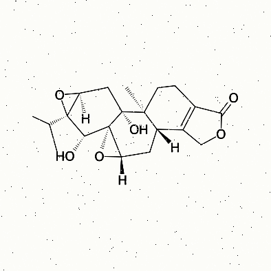 CC(C)[C@]12O[C@H]1C[C@]1(O)[C@]3(O[C@H]3C[C@H]3C4=C(CC[C@@]31C)C(=O)OC4)[C@@H]2O